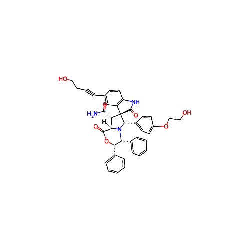 NC(=O)[C@H]1[C@@H]2C(=O)O[C@@H](c3ccccc3)[C@@H](c3ccccc3)N2[C@@H](c2ccc(OCCO)cc2)[C@]12C(=O)Nc1ccc(C#CCCO)cc12